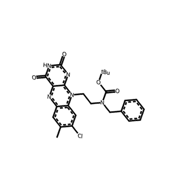 Cc1cc2nc3c(=O)[nH]c(=O)nc-3n(CCN(Cc3ccccc3)C(=O)OC(C)(C)C)c2cc1Cl